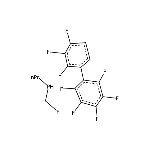 CCCPCF.Fc1ccc(-c2c(F)c(F)c(F)c(F)c2F)c(F)c1F